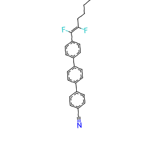 CCCCC(F)=C(F)c1ccc(-c2ccc(-c3ccc(C#N)cc3)cc2)cc1